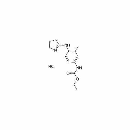 CCOC(=O)Nc1ccc(NC2=NCCC2)c(C)c1.Cl